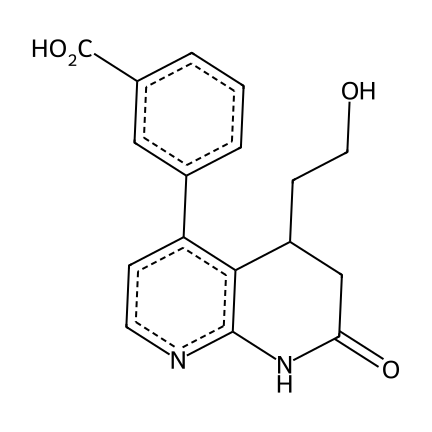 O=C1CC(CCO)c2c(-c3cccc(C(=O)O)c3)ccnc2N1